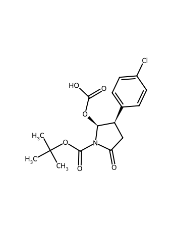 CC(C)(C)OC(=O)N1C(=O)C[C@H](c2ccc(Cl)cc2)[C@@H]1OC(=O)O